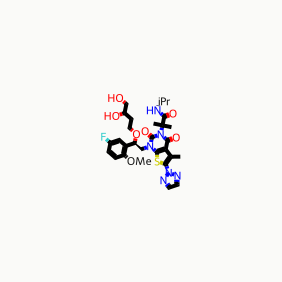 COc1ccc(F)cc1[C@H](Cn1c(=O)n(C(C)(C)C(=O)NC(C)C)c(=O)c2c(C)c(-n3nccn3)sc21)OCCC(O)CO